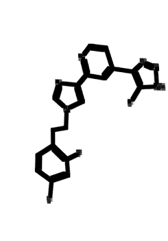 Fc1ccc(CCn2cnc(-c3cc(-c4nn[nH]c4F)ccn3)c2)c(F)c1